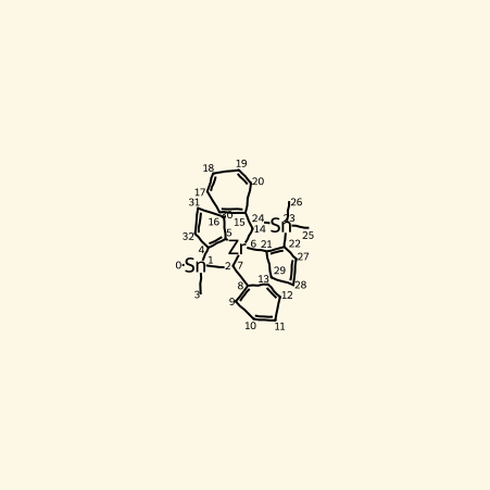 [CH3][Sn]([CH3])([CH3])[C]1=[C]([Zr]([CH2]c2ccccc2)([CH2]c2ccccc2)[C]2=[C]([Sn]([CH3])([CH3])[CH3])C=CC2)CC=C1